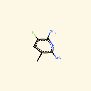 Cc1cc(F)c(N)nc1N